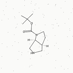 CC(C)(C)OC(=O)N1CC[C@H]2CNC[C@H]21